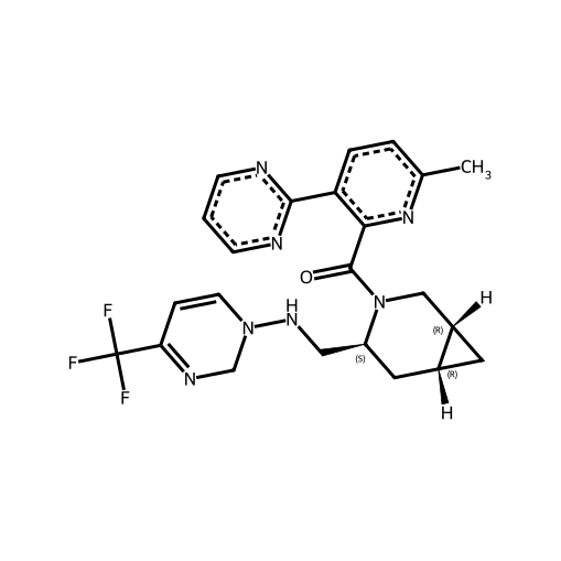 Cc1ccc(-c2ncccn2)c(C(=O)N2C[C@@H]3C[C@@H]3C[C@H]2CNN2C=CC(C(F)(F)F)=NC2)n1